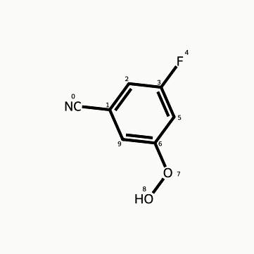 N#Cc1cc(F)cc(OO)c1